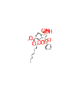 CCCCCCCCOc1c(C(=O)OC)ccc2c1C(S(=O)(=O)c1ccccc1)CS2(O)O